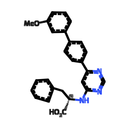 COc1cccc(-c2ccc(-c3cc(N[C@@H](Cc4ccccc4)C(=O)O)ncn3)cc2)c1